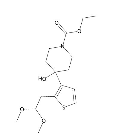 CCOC(=O)N1CCC(O)(c2ccsc2CC(OC)OC)CC1